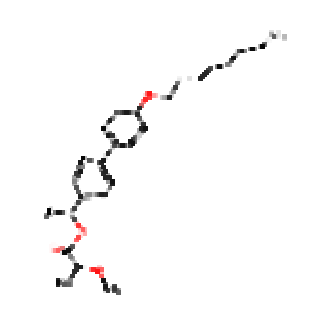 CCCCCCCCOc1ccc(-c2ccc(C(C)OC(=O)C(C)OC)cc2)cc1